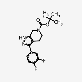 CC(C)(C)OC(=O)N1CCc2c(-c3ccc(F)c(F)c3)n[nH]c2C1